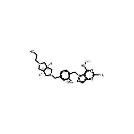 CCCCNc1nc(N)nc2cnn(Cc3ccc(CN4C[C@H]5CN(CCO)C[C@H]5C4)cc3OC)c12